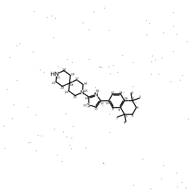 CC1(C)CCC(C)(C)c2cc(-c3csc(N4CCC5(CCNCC5)CC4)n3)ccc21